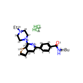 CCCCNC(=O)c1ccc(-c2cc3ccsc3c(N3CCN(CC)CC3)n2)cc1.Cl.Cl